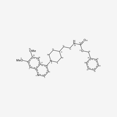 COc1cc2nccc(N3CCC(CCNC(=O)OCc4ccccc4)CC3)c2cc1OC